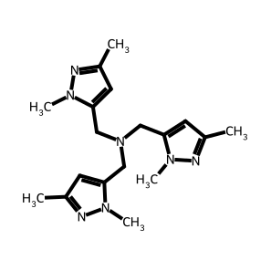 Cc1cc(CN(Cc2cc(C)nn2C)Cc2cc(C)nn2C)n(C)n1